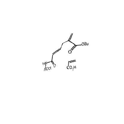 C=C(CC=CC(=O)NCCCCCCCC)C(=O)OCC(C)C.C=CC(=O)O